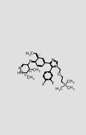 C/C=C1/C=C(c2ncn(COCC[Si](C)(C)C)c2-c2ccc(F)c(F)c2)C=CC1=NC1C=NN[C@@H](C)[C@@H]1C